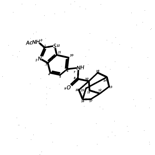 CC(=O)Nc1nc2ccc(NC(=O)C34CC5CC(CC(C5)C3)C4)cc2s1